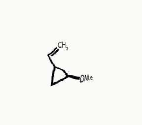 C=CC1CC1OC